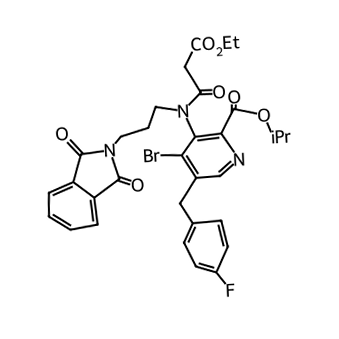 CCOC(=O)CC(=O)N(CCCN1C(=O)c2ccccc2C1=O)c1c(C(=O)OC(C)C)ncc(Cc2ccc(F)cc2)c1Br